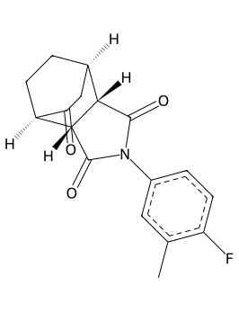 Cc1cc(N2C(=O)[C@H]3[C@@H]4CC[C@@H](C(=O)C4)[C@H]3C2=O)ccc1F